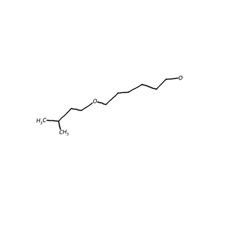 CC(C)CCOCCCCCC[O]